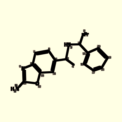 CCCC(NC(C)c1ccc2nc(N)oc2c1)c1ccccc1